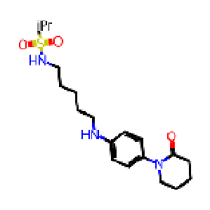 CC(C)S(=O)(=O)NCCCCCNc1ccc(N2CCCCC2=O)cc1